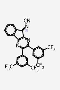 N#C/N=C1\c2ccccc2-c2nc(-c3cc(C(F)(F)F)cc(C(F)(F)F)c3)c(-c3cc(C(F)(F)F)cc(C(F)(F)F)c3)nc21